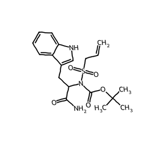 C=CCS(=O)(=O)N(C(=O)OC(C)(C)C)C(Cc1c[nH]c2ccccc12)C(N)=O